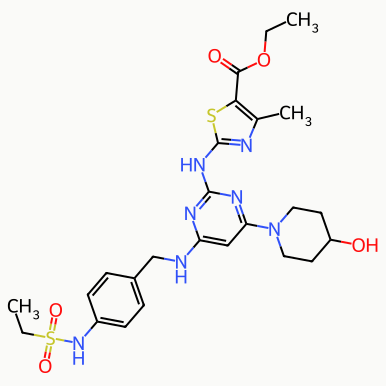 CCOC(=O)c1sc(Nc2nc(NCc3ccc(NS(=O)(=O)CC)cc3)cc(N3CCC(O)CC3)n2)nc1C